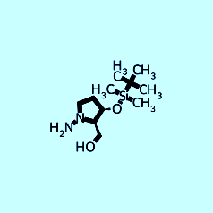 CC(C)(C)[Si](C)(C)O[C@H]1CCN(N)[C@@H]1CO